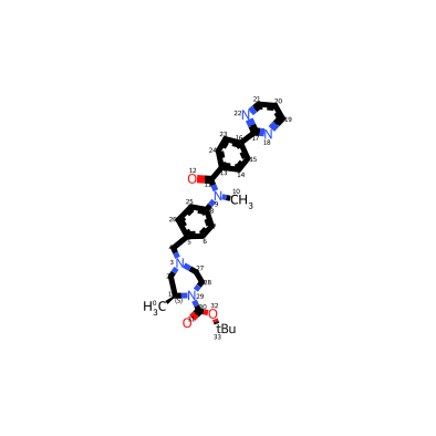 C[C@H]1CN(Cc2ccc(N(C)C(=O)c3ccc(-c4ncccn4)cc3)cc2)CCN1C(=O)OC(C)(C)C